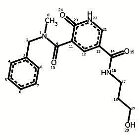 CN(Cc1ccccc1)C(=O)c1cc(C(=O)NCCCO)c[nH]c1=O